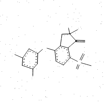 CS(=O)(=O)c1ccc(Oc2cc(F)cc(Br)c2)c2c1C(=O)C(F)(F)C2